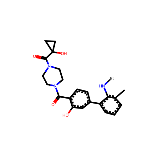 CCNc1c(C)cccc1-c1ccc(C(=O)N2CCN(C(=O)C3(O)CC3)CC2)c(O)c1